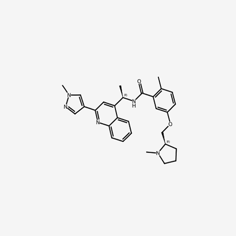 Cc1ccc(OC[C@H]2CCCN2C)cc1C(=O)N[C@H](C)c1cc(-c2cnn(C)c2)nc2ccccc12